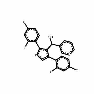 OC(c1cccnc1)c1c(-c2ccc(Cl)cc2F)c[nH]c1-c1ccc(F)cc1F